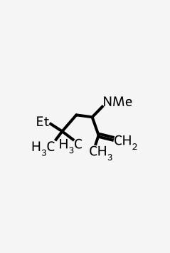 C=C(C)C(CC(C)(C)CC)NC